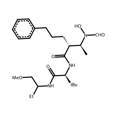 CCC(COC)NC(=O)[C@@H](NC(=O)[C@H](CCCc1ccccc1)[C@H](C)N(O)C=O)C(C)(C)C